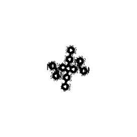 c1ccc(-c2ccc(-c3c4ccc(N(c5cccnc5)c5ccccn5)cc4c(-c4ccc(-c5ccccc5)cc4)c4ccc(N(c5cccnc5)c5ccccn5)cc34)cc2)cc1